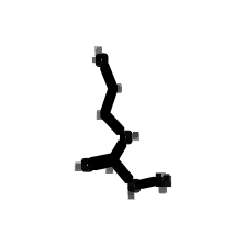 CCOC(=O)OCC[O]